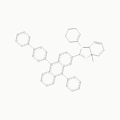 CC12C=CC=CC1N(C1=CCCCC1)C(c1ccc3c(-c4ccc(-c5ccccc5)cc4)c4ccccc4c(-c4ccccc4)c3c1)=N2